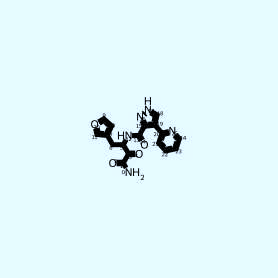 NC(=O)C(=O)C(Cc1ccoc1)NC(=O)c1n[nH]cc1-c1ccccn1